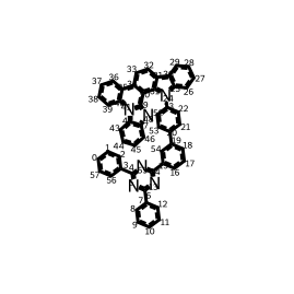 c1ccc(-c2nc(-c3ccccc3)nc(-c3cccc(-c4ccc(-n5c6ccccc6c6ccc7c8ccccc8n8c9ccccc9nc8c7c65)cc4)c3)n2)cc1